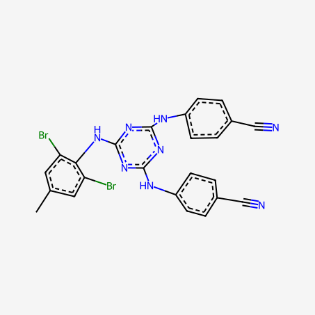 Cc1cc(Br)c(Nc2nc(Nc3ccc(C#N)cc3)nc(Nc3ccc(C#N)cc3)n2)c(Br)c1